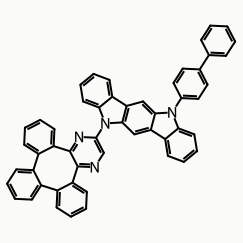 c1ccc(-c2ccc(-n3c4ccccc4c4cc5c(cc43)c3ccccc3n5-c3cnc4c(n3)-c3ccccc3-c3ccccc3-c3ccccc3-4)cc2)cc1